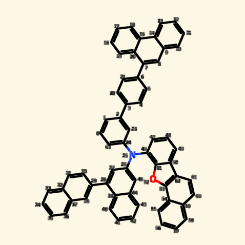 c1cc(-c2ccc(-c3cc4ccccc4c4ccccc34)cc2)cc(N(c2cc(-c3ccc4ccccc4c3)c3ccccc3c2)c2cccc3c2oc2c4ccccc4ccc32)c1